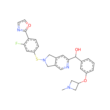 CN1CC(Oc2cccc(C(O)c3cc4c(cn3)CN(Sc3ccc(-c5ncco5)c(F)c3)C4)c2)C1